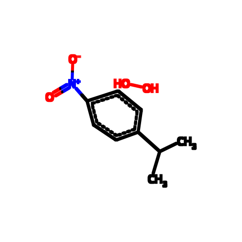 CC(C)c1ccc([N+](=O)[O-])cc1.OO